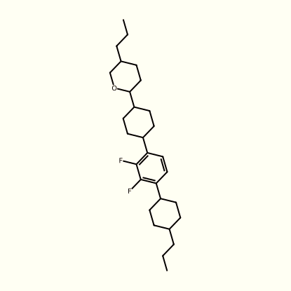 CCCC1CCC(c2ccc(C3CCC(C4CCC(CCC)CO4)CC3)c(F)c2F)CC1